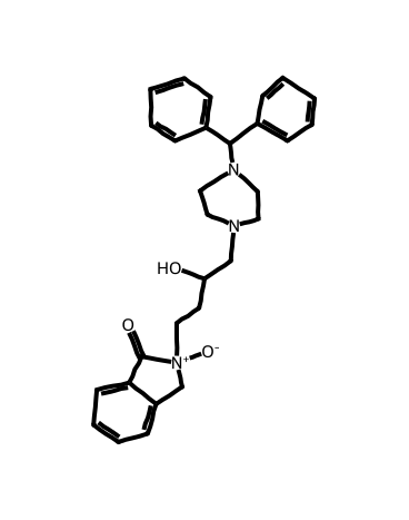 O=C1c2ccccc2C[N+]1([O-])CCC(O)CN1CCN(C(c2ccccc2)c2ccccc2)CC1